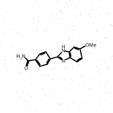 COc1ccc2nc(-c3ccc(C(N)=O)cc3)[nH]c2c1